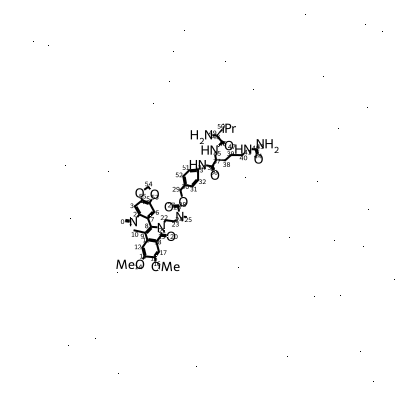 C=Nc1cc2c(cc1-c1c(C)c3cc(OC)c(OC)cc3c(=O)n1CCN(C)C(=O)OCc1ccc(NC(=O)[C@H](CCCNC(N)=O)NC(=O)[C@@H](N)C(C)C)cc1)OCO2